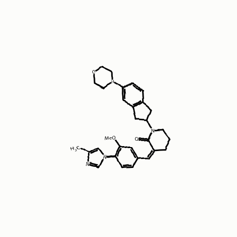 COc1cc(C=C2CCCN(C3Cc4ccc(N5CCOCC5)cc4C3)C2=O)ccc1-n1cnc(C)c1